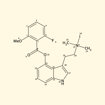 COc1cccc(F)c1C(=O)Oc1cccc2[nH]cc(CC[N+](C)(C)I)c12